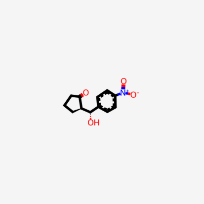 O=C1CCC[C@@H]1[C@@H](O)c1ccc([N+](=O)[O-])cc1